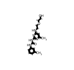 Cc1cccc(NC(=O)Nc2nc(C)cc(NCCOCCO)n2)c1